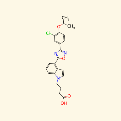 CC(C)Oc1ccc(-c2noc(-c3cccc4c3ccn4CCCC(=O)O)n2)cc1Cl